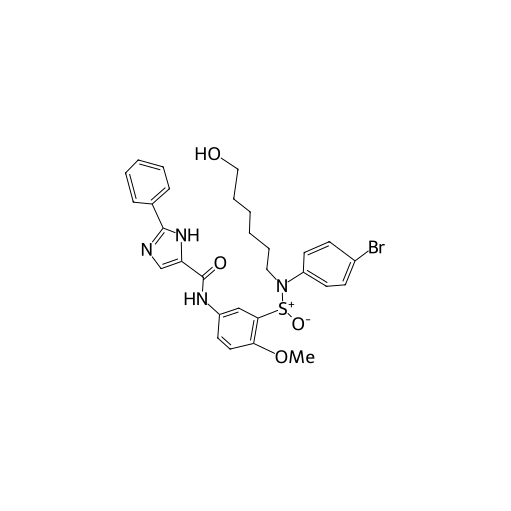 COc1ccc(NC(=O)c2cnc(-c3ccccc3)[nH]2)cc1[S+]([O-])N(CCCCCCO)c1ccc(Br)cc1